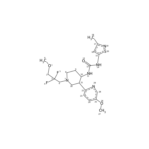 COCC(F)(F)CN1CCC(NC(=O)Nc2cc(C)ns2)C(c2ccc(OC)cn2)C1